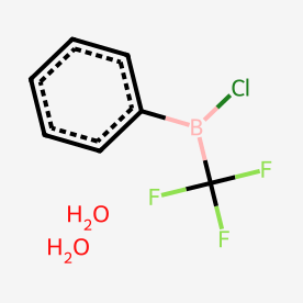 FC(F)(F)B(Cl)c1ccccc1.O.O